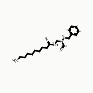 CCCCCCCCCC(=O)NCN(C=O)OCc1ccccc1